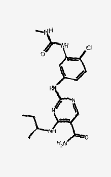 CC[C@H](C)Nc1nc(Nc2ccc(Cl)c(NC(=O)NC)c2)ncc1C(N)=O